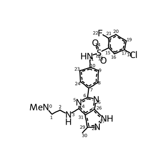 CNCCNc1nc(-c2ccc(NS(=O)(=O)c3cc(Cl)ccc3F)cc2)nc2[nH]nc(C)c12